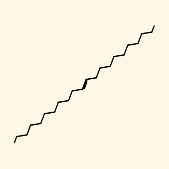 CC(=O)OCCCCCCCCCC=CCCCCCCCCCOC(C)=O